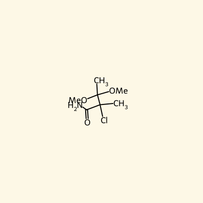 COC(C)(OC)C(C)(Cl)C(N)=O